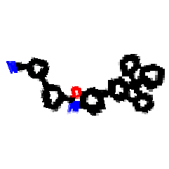 N#Cc1cccc(-c2cccc(-c3nc4ccc(-c5ccc6c(c5)-c5ccccc5C6(c5ccccc5)c5ccccc5)cc4o3)c2)c1